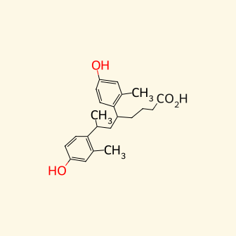 Cc1cc(O)ccc1C(C)CC(CCCC(=O)O)c1ccc(O)cc1C